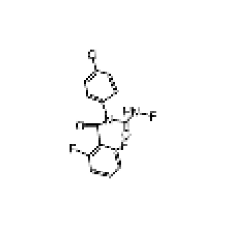 O=C(NF)N(C(=O)c1c(F)cccc1F)c1ccc(Cl)cc1